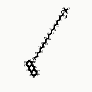 CC(C)(C)OC(=O)CCCCCCCCCCCCCCCCCCCOc1cccc2cc3ccccc3cc12